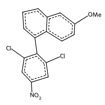 COc1ccc2c(-c3c(Cl)cc([N+](=O)[O-])cc3Cl)cccc2c1